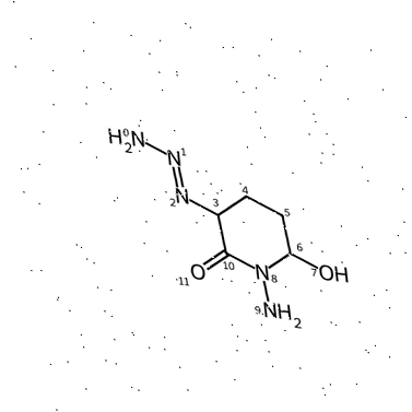 NN=NC1CCC(O)N(N)C1=O